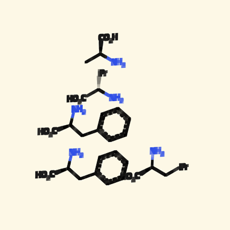 CC(C)C[C@H](N)C(=O)O.CC(C)[C@H](N)C(=O)O.C[C@H](N)C(=O)O.N[C@@H](Cc1ccccc1)C(=O)O.N[C@@H](Cc1ccccc1)C(=O)O